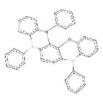 c1ccc(B2c3ccccc3Oc3c2ccc2c3N(c3ccccc3)c3ccccc3B2c2ccccc2)cc1